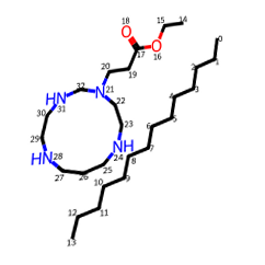 CCCCCCCCCCCCCC.CCOC(=O)CCN1CCNCCCNCCNC1